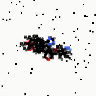 COC(=O)c1ccc(-c2ncnn2[C@@H]2C[C@@]34COC[C@@](C)([C@H]2OC[C@](C)(N)C(C)(C)C)[C@H]3CC[C@H]2C4=CC[C@@]3(C)[C@H](C(=O)O)[C@@](C)([C@H](C)C(C)C)CC[C@]23C)cn1